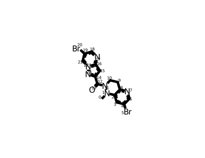 CN1c2cc(Br)cnc2CCN1C(=O)c1cc2ncc(Br)cn2n1